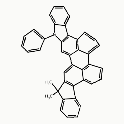 CC1(C)c2ccccc2-c2c1cc1c3cc4c(c5cccc(c6cccc2c61)c35)c1ccccc1n4-c1ccccc1